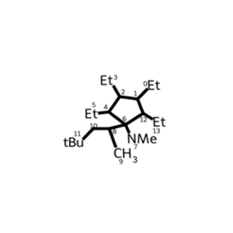 CCC1C(CC)C(CC)C(NC)(C(C)CC(C)(C)C)C1CC